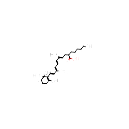 CCCCCCC(CC=C(C)C=CC=C(C)C=CC1=C(C)CCCC1(C)C)C(=O)O